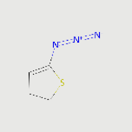 [N-]=[N+]=NC1=CCCS1